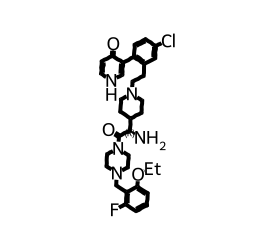 CCOc1cccc(F)c1CN1CCN(C(=O)[C@H](N)C2CCN(CCc3cc(Cl)ccc3-c3c[nH]ccc3=O)CC2)CC1